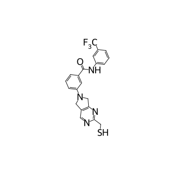 O=C(Nc1cccc(C(F)(F)F)c1)c1cccc(N2Cc3cnc(CS)nc3C2)c1